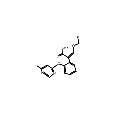 COC(=O)C(=COCF)c1ccccc1Oc1cc(Cl)ncn1